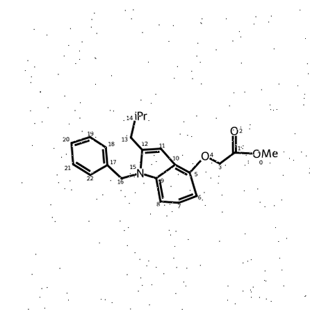 COC(=O)COc1cccc2c1cc(CC(C)C)n2Cc1ccccc1